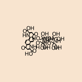 O=C(O)c1cc(=O)c2ccc3c(ccc4c(=O)cc(C(=O)O)[nH]c43)c2[nH]1.OCC(CO)(CO)NC(CO)(CO)CO.OCC(CO)(CO)NC(CO)(CO)CO